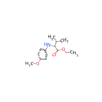 CCOC(=O)C(Nc1ccc(OC)cc1)C(C)C